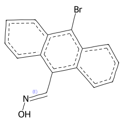 O/N=C/c1c2ccccc2c(Br)c2ccccc12